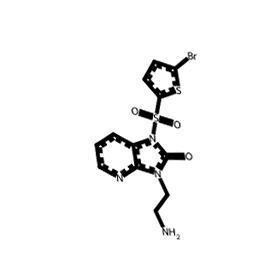 NCCn1c(=O)n(S(=O)(=O)c2ccc(Br)s2)c2cccnc21